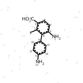 Cc1c(C(=O)O)ccc(N)c1-c1ccc(N)cc1